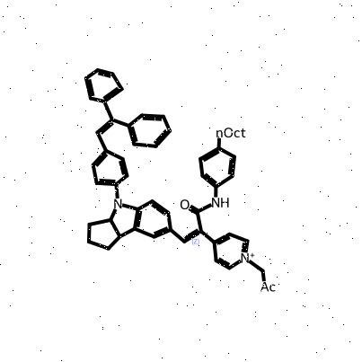 CCCCCCCCc1ccc(NC(=O)/C(=C\c2ccc3c(c2)C2CCCC2N3c2ccc(C=C(c3ccccc3)c3ccccc3)cc2)c2cc[n+](CC(C)=O)cc2)cc1